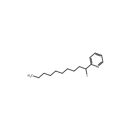 CCCCCCCCCC(I)c1ccccn1